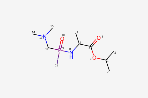 CC(C)OC(=O)C(C)NP(=O)(I)CN(C)C